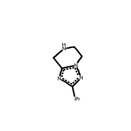 CC(C)c1nc2n(n1)CCNC2